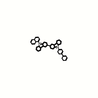 C1=CCCC(C2=CC=C(n3c4ccccc4c4cc(-c5ccc6c(c5)c5ccccc5n6C5=CC=CC6C=CC=CC56)ccc43)CC2)=C1